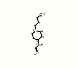 O=CNC1CCN(CCCO)CC1